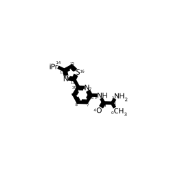 CC(N)C(=O)Nc1cccc(-c2nc(C(C)C)cs2)n1